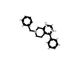 c1ccc(CN2CCc3c(ncnc3-c3ccccc3)C2)cc1